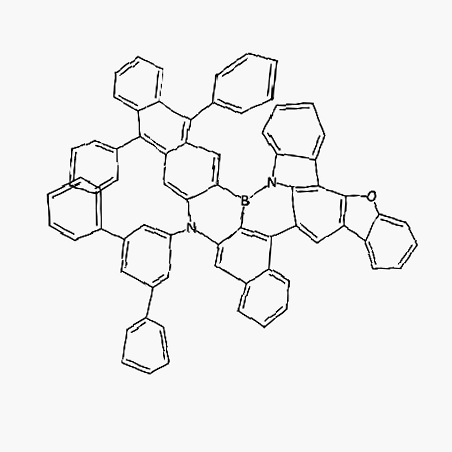 c1ccc(-c2cc(-c3ccccc3)cc(N3c4cc5c(-c6ccccc6)c6ccccc6c(-c6ccccc6)c5cc4B4c5c3cc3ccccc3c5-c3cc5c6ccccc6oc5c5c6ccccc6n4c35)c2)cc1